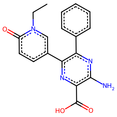 CCn1cc(-c2nc(C(=O)O)c(N)nc2-c2ccccc2)ccc1=O